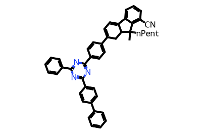 CCCCCC1(C)c2c(C#N)cccc2C2=CC=C(c3ccc(-c4nc(-c5ccccc5)nc(-c5ccc(-c6ccccc6)cc5)n4)cc3)CC21